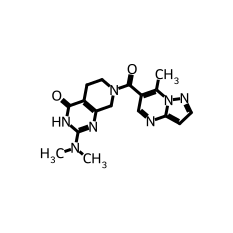 Cc1c(C(=O)N2CCc3c(nc(N(C)C)[nH]c3=O)C2)cnc2ccnn12